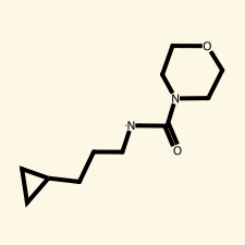 O=C([N]CCCC1CC1)N1CCOCC1